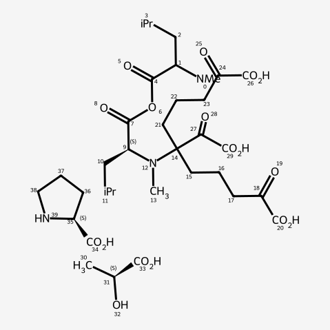 CNC(CC(C)C)C(=O)OC(=O)[C@H](CC(C)C)N(C)C(CCCC(=O)C(=O)O)(CCCC(=O)C(=O)O)C(=O)C(=O)O.C[C@H](O)C(=O)O.O=C(O)[C@@H]1CCCN1